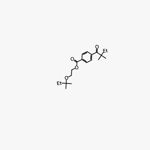 CCC(C)(C)OCCOC(=O)c1ccc(C(=O)C(C)(C)CC)cc1